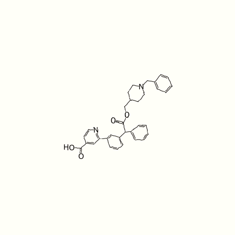 O=C(O)c1ccnc(-c2cccc(C(C(=O)OCC3CCN(Cc4ccccc4)CC3)c3ccccc3)c2)c1